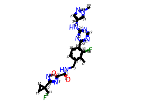 Cc1c(CNC(=O)c2nc(C3(CF)CC3)no2)ccc(-c2ncnc(Nc3cnn(C)c3)n2)c1F